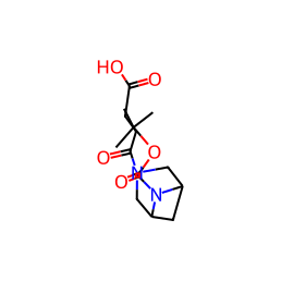 CC(C)(C)OC(=O)N1C2CC1CN(C(=O)CCC(=O)O)C2